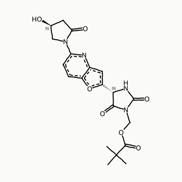 CC(C)(C)C(=O)OCN1C(=O)N[C@@H](c2cc3nc(N4C[C@@H](O)CC4=O)ccc3o2)C1=O